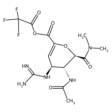 CC(=O)N[C@@H]1[C@@H](NC(=N)N)C=C(C(=O)OC(=O)C(F)(F)F)O[C@H]1C(=O)N(C)C